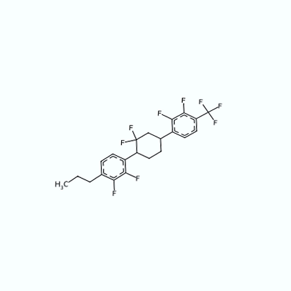 CCCc1ccc(C2CCC(c3ccc(C(F)(F)F)c(F)c3F)CC2(F)F)c(F)c1F